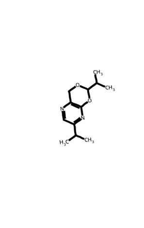 CC(C)c1cnc2c(n1)OC(C(C)C)OC2